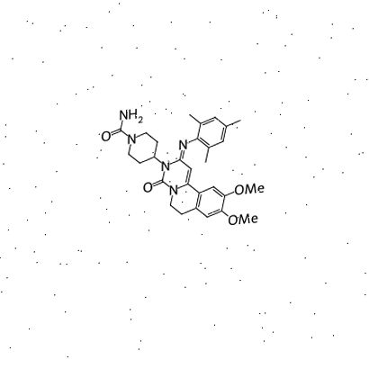 COc1cc2c(cc1OC)-c1c/c(=N\c3c(C)cc(C)cc3C)n(C3CCN(C(N)=O)CC3)c(=O)n1CC2